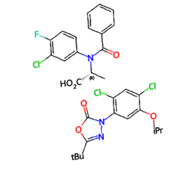 CC(C)Oc1cc(-n2nc(C(C)(C)C)oc2=O)c(Cl)cc1Cl.C[C@H](C(=O)O)N(C(=O)c1ccccc1)c1ccc(F)c(Cl)c1